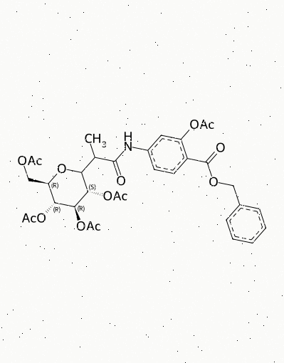 CC(=O)OC[C@H]1OC(C(C)C(=O)Nc2ccc(C(=O)OCc3ccccc3)c(OC(C)=O)c2)[C@H](OC(C)=O)[C@@H](OC(C)=O)[C@@H]1OC(C)=O